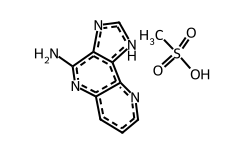 CS(=O)(=O)O.Nc1nc2cccnc2c2[nH]cnc12